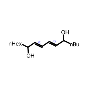 CCCCCCC(O)/C=[C]/C=C/C(O)CCCC